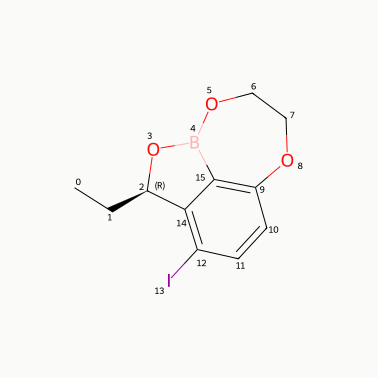 CC[C@H]1OB2OCCOc3ccc(I)c1c32